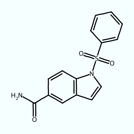 NC(=O)c1ccc2c(ccn2S(=O)(=O)c2ccccc2)c1